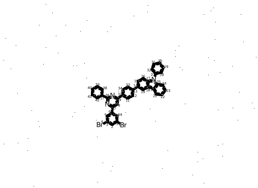 Brc1cc(Br)cc(-c2cc(-c3ccc(-c4ccc5c(c4)c4ccccc4n5-c4ccccc4)cc3)nc(-c3ccccc3)n2)c1